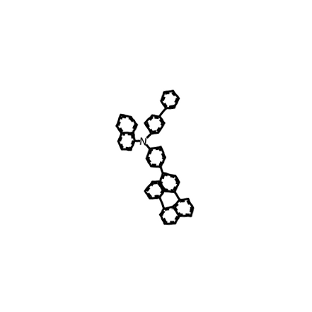 c1ccc(-c2ccc(N(c3ccc(-c4ccc(-c5cccc6cccc(-c7ccccc7)c56)cc4)cc3)c3cccc4ccccc34)cc2)cc1